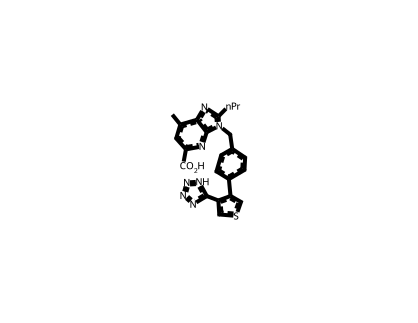 CCCc1nc2c(C)cc(C(=O)O)nc2n1Cc1ccc(-c2cscc2-c2nnn[nH]2)cc1